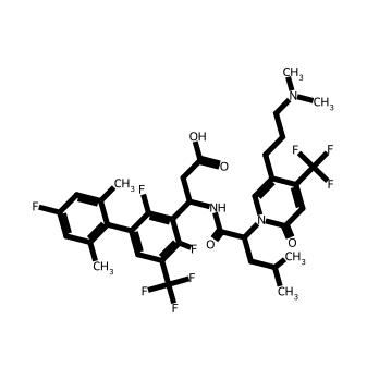 Cc1cc(F)cc(C)c1-c1cc(C(F)(F)F)c(F)c(C(CC(=O)O)NC(=O)C(CC(C)C)n2cc(CCCN(C)C)c(C(F)(F)F)cc2=O)c1F